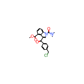 COC(=O)c1cccc2c1c(C(=O)c1ccc(CCl)cc1)cn2C(=O)N(C)C